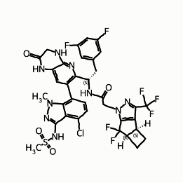 Cn1nc(NS(C)(=O)=O)c2c(Cl)ccc(-c3cc4c(nc3[C@H](Cc3cc(F)cc(F)c3)NC(=O)Cn3nc(C(F)(F)F)c5c3C(F)(F)[C@@H]3CC[C@H]53)NCC(=O)N4)c21